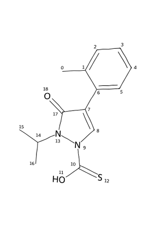 Cc1ccccc1-c1cn(C(O)=S)n(C(C)C)c1=O